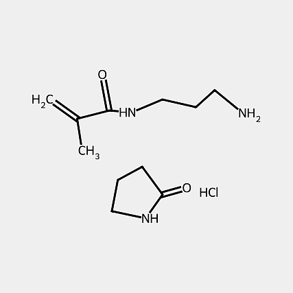 C=C(C)C(=O)NCCCN.Cl.O=C1CCCN1